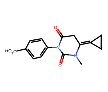 CN1C(=O)N(c2ccc(C(=O)O)cc2)C(=O)CC1=C1CC1